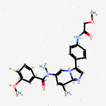 COCC(=O)Nc1ccc(-c2cnc3c(C)cc(N(C)C(=O)c4ccc(F)c(OC)c4)cn23)cc1